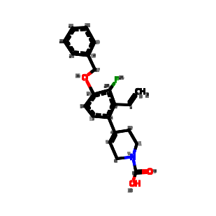 C=Cc1c(C2=CCN(C(=O)O)CC2)ccc(OCc2ccccc2)c1F